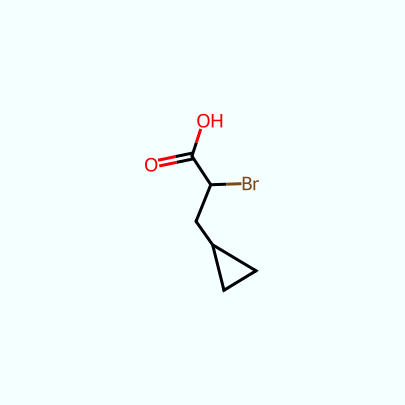 O=C(O)C(Br)CC1CC1